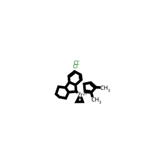 CC1=CC[C]([Zr+2]2([CH]3C4C=CC=CC4C4CCCCC43)[CH2][CH2]2)=C1C.[Cl-].[Cl-]